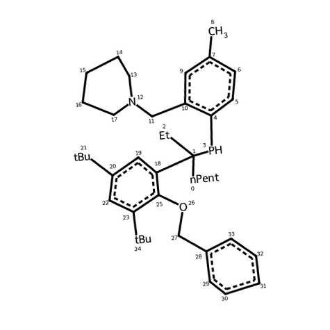 CCCCCC(CC)(Pc1ccc(C)cc1CN1CCCCC1)c1cc(C(C)(C)C)cc(C(C)(C)C)c1OCc1ccccc1